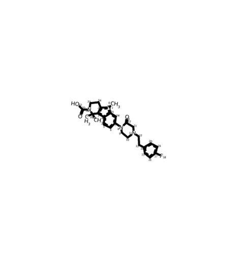 Cn1c2c(c3ccc(N4CCN(CCc5ccc(F)cc5)CC4=O)cc31)C(C)(C)N(C(=O)O)CC2